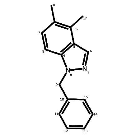 Cc1ccc2c(cnn2Cc2ccccc2)c1C